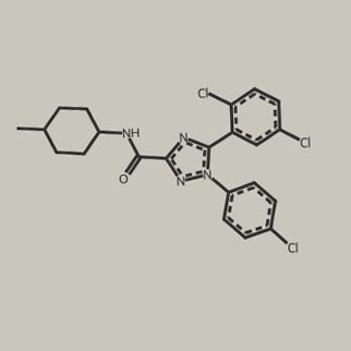 CC1CCC(NC(=O)c2nc(-c3cc(Cl)ccc3Cl)n(-c3ccc(Cl)cc3)n2)CC1